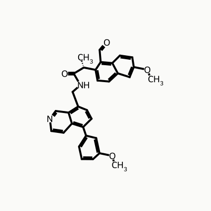 COc1cccc(-c2ccc(CNC(=O)[C@H](C)c3ccc4cc(OC)ccc4c3C=O)c3cnccc23)c1